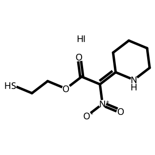 I.O=C(OCCS)C(=C1CCCCN1)[N+](=O)[O-]